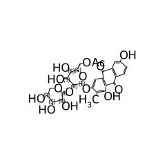 CC(=O)OC[C@H]1O[C@@H](Oc2cc3c(c(O)c2C)C(=O)c2ccc(O)cc2C3=O)[C@H](O[C@@H]2OC[C@@H](O)[C@H](O)[C@H]2O)[C@@H](O)[C@@H]1O